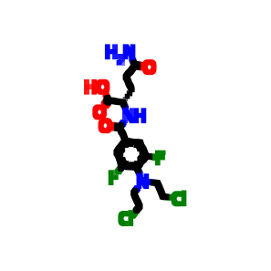 NC(=O)CC[C@H](NC(=O)c1cc(F)c(N(CCCl)CCCl)c(F)c1)C(=O)O